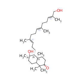 C/C(=C\CC/C(C)=C/CC/C(C)=C/CC[C@@H]1[C@@]2(C)CCC(=O)C(C)(C)C2CC[C@@]1(C)O)CO